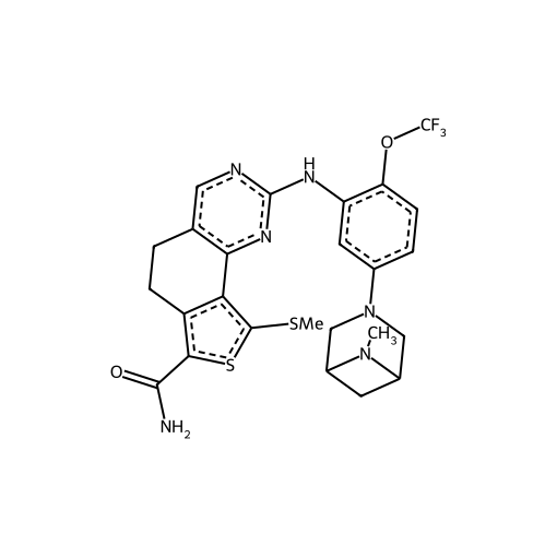 CSc1sc(C(N)=O)c2c1-c1nc(Nc3cc(N4CC5CC(C4)N5C)ccc3OC(F)(F)F)ncc1CC2